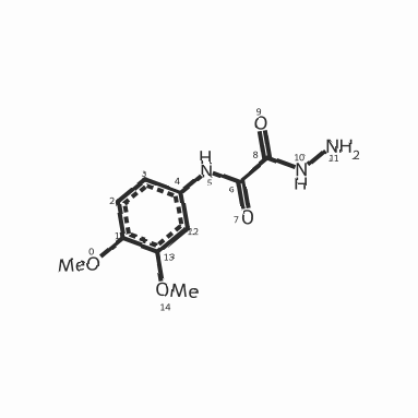 COc1ccc(NC(=O)C(=O)NN)cc1OC